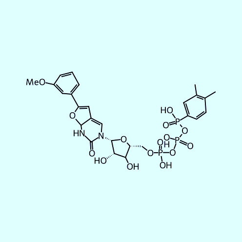 COc1cccc(C2=CC3=CN([C@@H]4O[C@H](COP(=O)(O)OP(=O)(O)OP(=O)(O)c5ccc(C)c(C)c5)C(O)[C@@H]4O)C(=O)NC3O2)c1